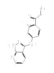 CC(C)Cc1noc2cc(Nc3n[nH]c4ncccc34)ccc12